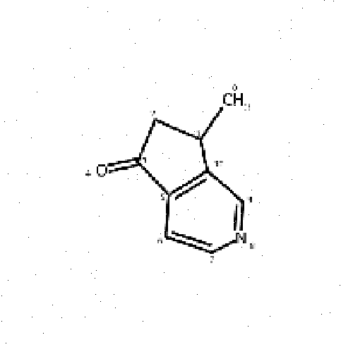 CC1CC(=O)c2ccncc21